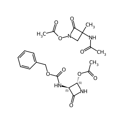 CC(=O)NC1(C)CN(OC(C)=O)C1=O.CC(=O)O[C@@H]1NC(=O)[C@H]1NC(=O)OCc1ccccc1